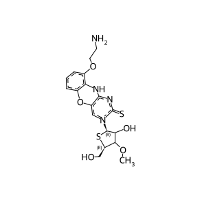 COC1C(O)[C@H](n2cc3c(nc2=S)Nc2c(OCCN)cccc2O3)S[C@@H]1CO